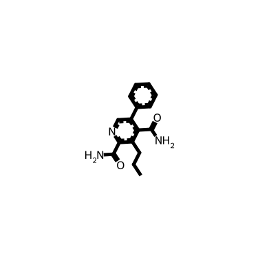 CCCc1c(C(N)=O)ncc(-c2ccccc2)c1C(N)=O